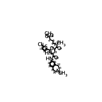 COC(=O)CCCN(C)C(=O)CC[C@@H](NC(=O)c1ccc(Cl)s1)C(=O)Nc1ccc2c(c1)CCN(C)CC2